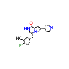 N#Cc1cc(Cc2c[nH]c(=O)c3cc(-c4ccncc4)cn23)ccc1F